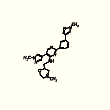 CN1CCOC(CNc2nc(-c3cccc(-c4cnn(C)c4)c3)ncc2-c2cnn(C)c2)C1